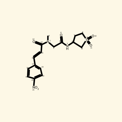 CN(CC(=O)NC1CCS(=O)(=O)C1)C(=O)/C=C/c1ccc([N+](=O)[O-])cc1